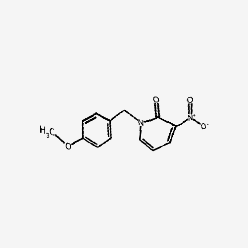 COc1ccc(Cn2cccc([N+](=O)[O-])c2=O)cc1